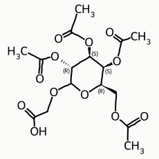 CC(=O)OC[C@H]1OC(OCC(=O)O)[C@H](OC(C)=O)[C@@H](OC(C)=O)[C@H]1OC(C)=O